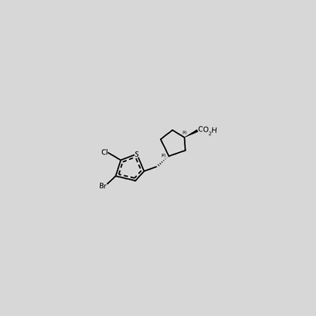 O=C(O)[C@@H]1CC[C@@H](Cc2cc(Br)c(Cl)s2)C1